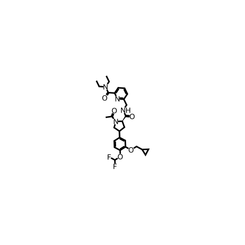 CCN(CC)C(=O)c1cccc(CNC(=O)[C@H]2CC(c3ccc(OC(F)F)c(OCC4CC4)c3)CN2C(C)=O)n1